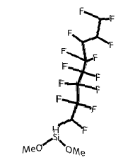 CO[SiH](CC(F)C(F)(F)C(F)(F)C(F)(F)C(F)(F)C(F)C(F)C(F)F)OC